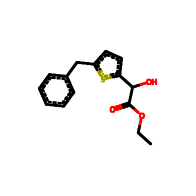 CCOC(=O)C(O)c1ccc(Cc2ccccc2)s1